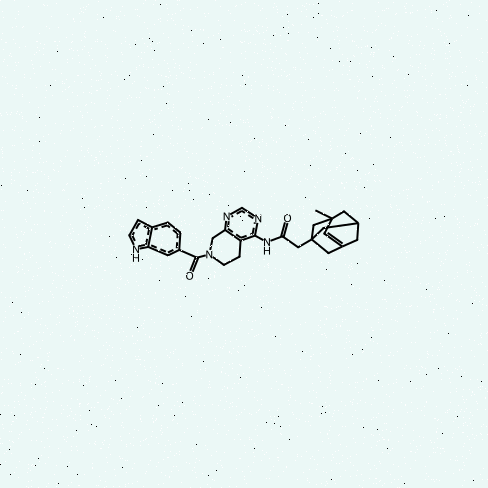 CC12C=C3CC(C1)CC(CC(=O)Nc1ncnc4c1CCN(C(=O)c1ccc5cc[nH]c5c1)C4)(C3)C2